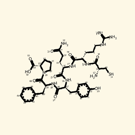 N=C(N)NCCC[C@H](NC(=O)[C@@H](N)CS)C(=O)N[C@@H](CCC(N)=O)C(=O)N[C@@H](Cc1ccc(O)cc1)C(=O)N[C@@H](Cc1ccccc1)C(=O)N1CCC[C@H]1C(=O)O